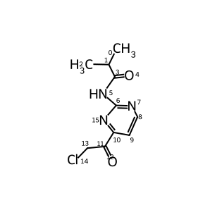 CC(C)C(=O)Nc1nccc(C(=O)CCl)n1